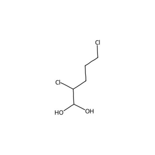 OC(O)C(Cl)CCCCl